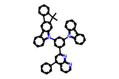 CC1(C)c2ccccc2-c2cc3c4ccccc4n(-c4cc(-c5cc(-c6ccccc6)c6cccnc6n5)cc(-n5c6ccccc6c6ccccc65)c4)c3cc21